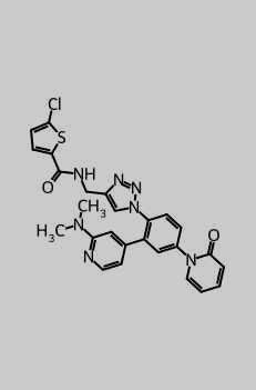 CN(C)c1cc(-c2cc(-n3ccccc3=O)ccc2-n2cc(CNC(=O)c3ccc(Cl)s3)nn2)ccn1